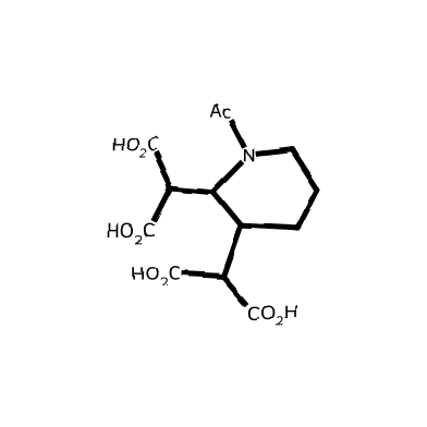 CC(=O)N1CCCC(C(C(=O)O)C(=O)O)C1C(C(=O)O)C(=O)O